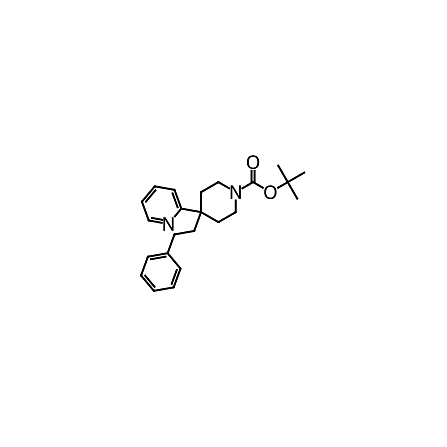 CC(C)(C)OC(=O)N1CCC(CCc2ccccc2)(c2ccccn2)CC1